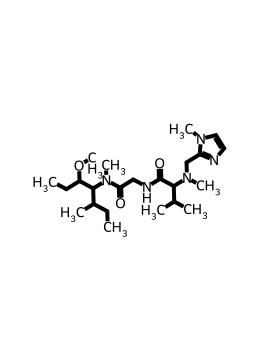 CCC(C)C(C(CC)OC)N(C)C(=O)CNC(=O)C(C(C)C)N(C)Cc1nccn1C